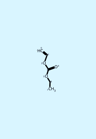 [CH]=COC(=O)OCC